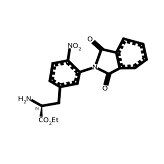 CCOC(=O)[C@@H](N)Cc1ccc([N+](=O)[O-])c(N2C(=O)c3ccccc3C2=O)c1